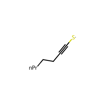 CCCCCC#C[S]